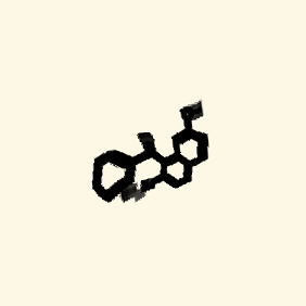 Nc1ccc2ccc(O)cc2c1C(=O)c1ccccc1